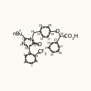 CCCCc1nn(-c2ccccc2C(F)(F)F)c(=O)n1Cc1ccc(OC(C(=O)O)c2ccccc2)cc1